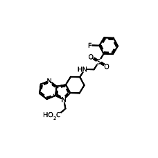 O=C(O)Cn1c2c(c3ncccc31)CC(NCS(=O)(=O)c1ccccc1F)CC2